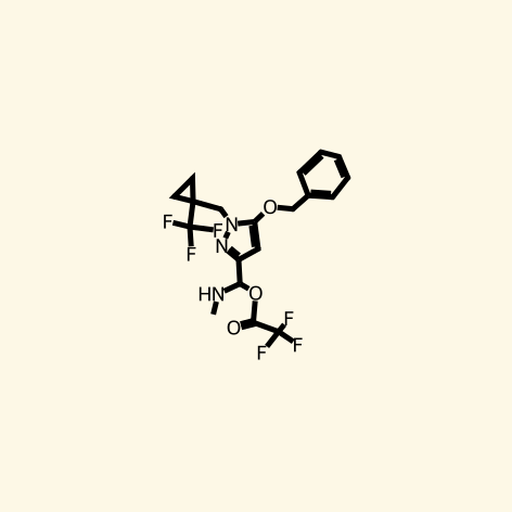 CNC(OC(=O)C(F)(F)F)c1cc(OCc2ccccc2)n(CC2(C(F)(F)F)CC2)n1